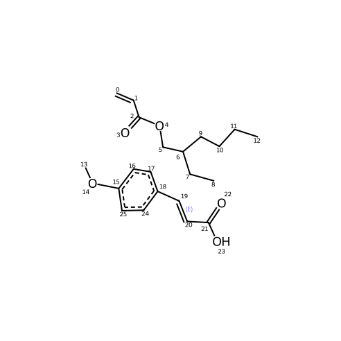 C=CC(=O)OCC(CC)CCCC.COc1ccc(/C=C/C(=O)O)cc1